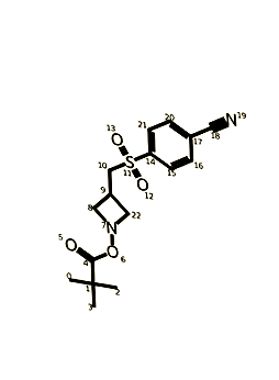 CC(C)(C)C(=O)ON1CC(CS(=O)(=O)c2ccc(C#N)cc2)C1